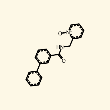 O=C(NCc1cccc[n+]1[O-])c1cccc(-c2ccccc2)c1